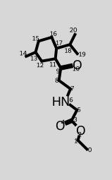 CCOC(=O)CNCCC(=O)C1CC(C)CCC1C(C)C